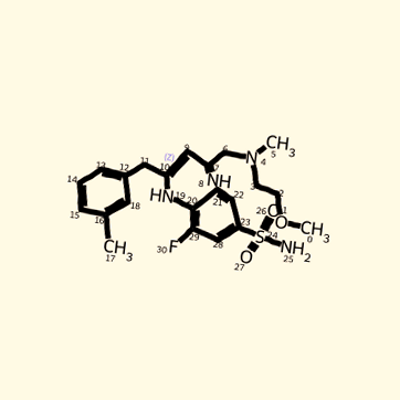 COCCN(C)CC(=N)/C=C(/Cc1cccc(C)c1)Nc1ccc(S(N)(=O)=O)cc1F